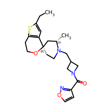 CCc1cc2c(s1)CCO[C@@]21CCN(CC2CN(C(=O)c3ccon3)C2)[C@@H](C)C1